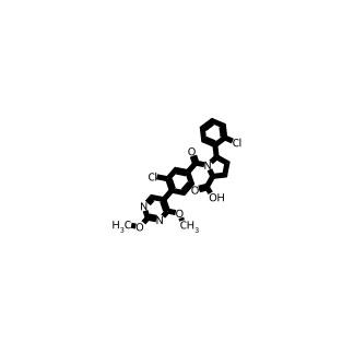 COc1ncc(-c2ccc(C(=O)N3C(C(=O)O)CCC3c3ccccc3Cl)cc2Cl)c(OC)n1